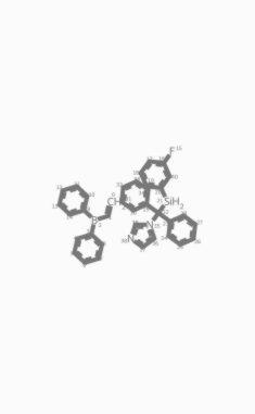 C=CB(c1ccccc1)c1ccccc1.Fc1cccc([SiH2]C(c2ccccc2)(c2ccccc2)n2ccnc2)c1